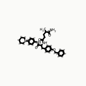 CC(C[CH]C(=O)NC(Cc1ccc(OCc2ccccc2)cc1)C(=O)Nc1ccc(N2CCCCC2)cc1)C(N)=O